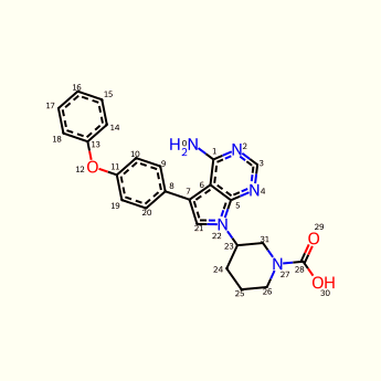 Nc1ncnc2c1c(-c1ccc(Oc3ccccc3)cc1)cn2C1CCCN(C(=O)O)C1